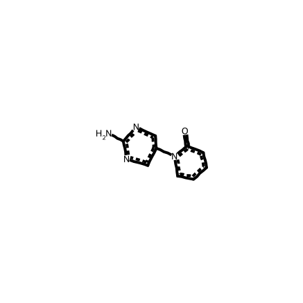 Nc1ncc(-n2ccccc2=O)cn1